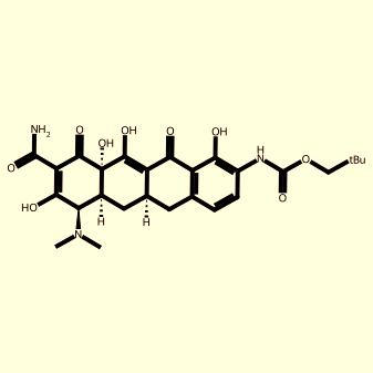 CN(C)[C@H]1C(O)=C(C(N)=O)C(=O)[C@@]2(O)C(O)=C3C(=O)c4c(ccc(NC(=O)OCC(C)(C)C)c4O)C[C@H]3C[C@@H]12